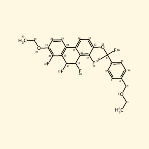 CCOCc1ccc(C(F)(F)Oc2ccc3c(c2F)C(F)C(F)c2c-3ccc(OCC)c2F)cc1